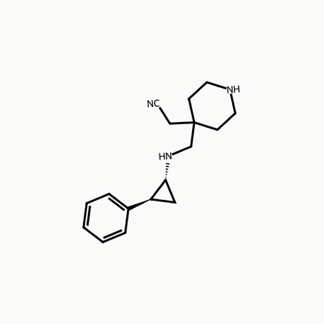 N#CCC1(CN[C@@H]2C[C@H]2c2ccccc2)CCNCC1